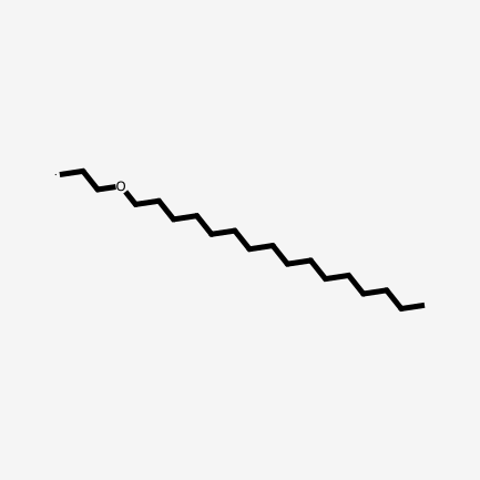 [CH2]CCOCCCCCCCCCCCCCCCC